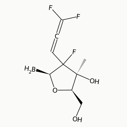 B[C@@H]1O[C@H](CO)[C@](C)(O)C1(F)C=C=C(F)F